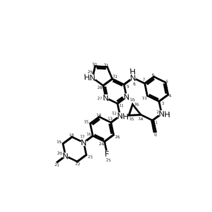 C=C(Nc1cccc(Nc2nc(Nc3ccc(N4CCN(C)CC4)c(F)c3)nc3[nH]ccc23)c1)C1CC1